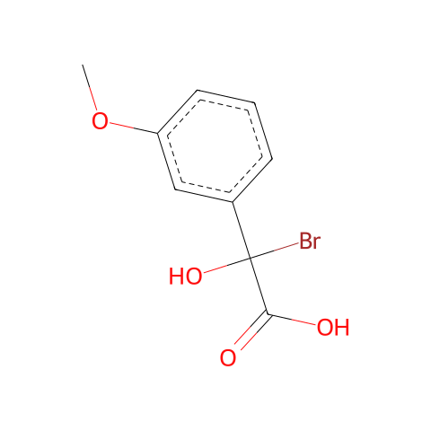 COc1cccc(C(O)(Br)C(=O)O)c1